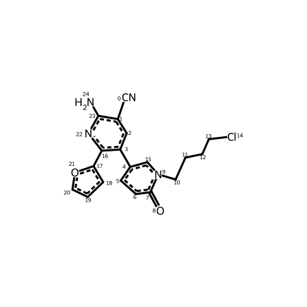 N#Cc1cc(-c2ccc(=O)n(CCCCCl)c2)c(-c2ccco2)nc1N